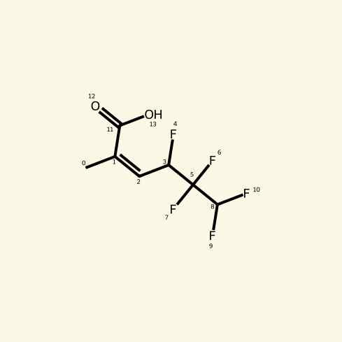 CC(=CC(F)C(F)(F)C(F)F)C(=O)O